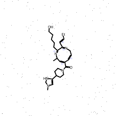 CC/C=C/C1=N/C/C=C\C(C(=O)N2CCC(C3=CN(C)CN3)CC2)=C/C(C)/N=C\1CCCCCO